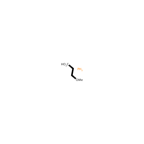 COCCC(=O)O.P